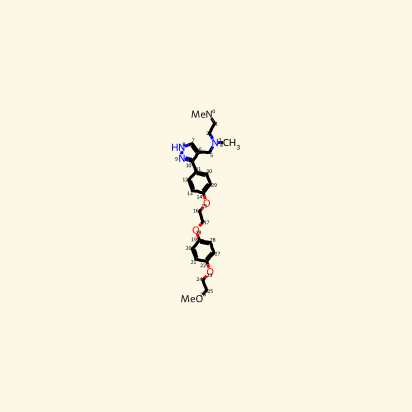 CNCCN(C)Cc1c[nH]nc1-c1ccc(OCCOc2ccc(OCCOC)cc2)cc1